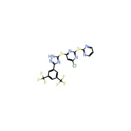 FC(F)(F)c1cc(-c2n[nH]c(Sc3cc(Cl)nc(Sc4ncccn4)n3)n2)cc(C(F)(F)F)c1